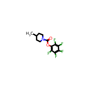 CC1CCN(C(=O)Oc2c(F)c(F)c(F)c(F)c2F)CC1